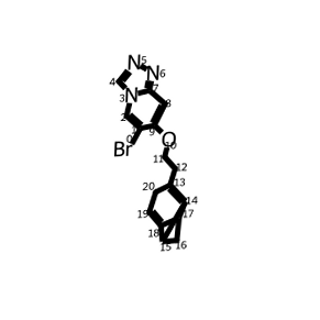 Brc1cn2cnnc2cc1OCCC1=C2C3CC2C3=CC1